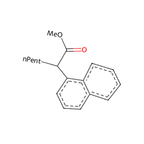 CCCCCC(C(=O)OC)c1cccc2ccccc12